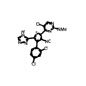 [C-]#[N+]c1c(-c2nc(NC)ncc2Cl)sc(-c2nnc[nH]2)c1-c1ccc(Cl)cc1Cl